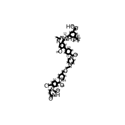 COc1cc2nc(C)nc(N[C@H](C)c3cc(C(=O)O)cc(C(F)(F)F)c3)c2cc1C1=CCC(C(=O)N2CCN(CCOCC3CCN(C(=O)c4ccc(Cl)c(N5CCC(=O)NC5=O)c4)CC3)CC2)CC1